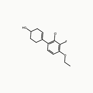 CCOc1ccc(C2=CCC(O)CC2)c(Cl)c1F